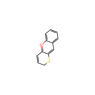 C1=Cc2[o+]c3ccccc3cc2SC1